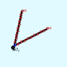 O=[N+]([O-])c1cccc(N(CCOCCOCCOCCOCCOCCOCCOCCOCCOCCO)CCOCCOCCOCCOCCOCCOCCOCCOCCOCCO)c1